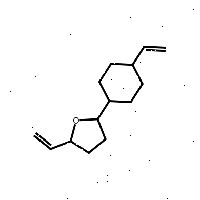 C=CC1CCC(C2CCC(C=C)O2)CC1